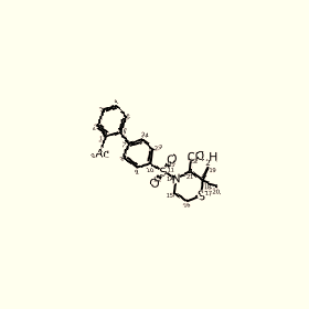 CC(=O)c1ccccc1-c1ccc(S(=O)(=O)N2CCSC(C)(C)C2C(=O)O)cc1